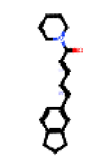 O=C(/C=C/C=C/c1ccc2c(c1)CCC2)N1CCCCC1